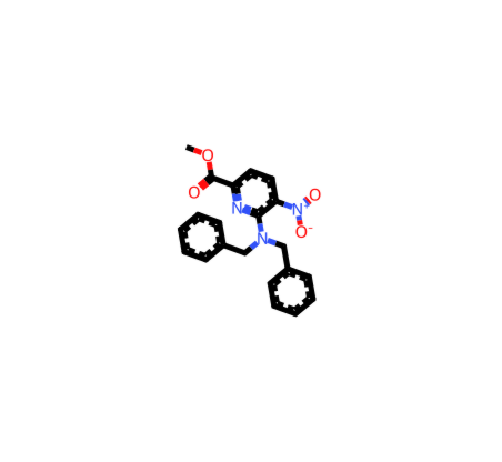 COC(=O)c1ccc([N+](=O)[O-])c(N(Cc2ccccc2)Cc2ccccc2)n1